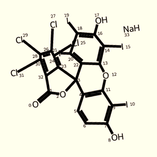 O=C1OC2(c3ccc(O)c(I)c3Oc3c(I)c(O)c(I)c(I)c32)c2c(Cl)c(Cl)c(Cl)c(Cl)c21.[NaH]